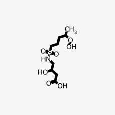 CC(CCCS(=O)(=O)NCC(O)CC(=O)O)OO